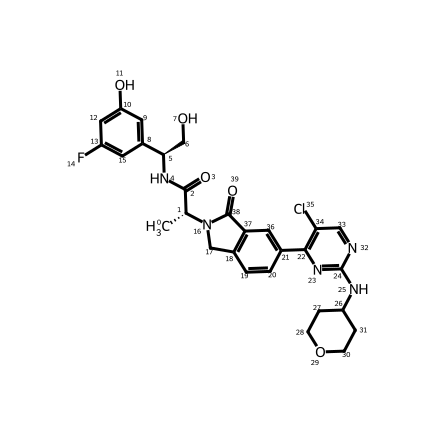 C[C@H](C(=O)N[C@H](CO)c1cc(O)cc(F)c1)N1Cc2ccc(-c3nc(NC4CCOCC4)ncc3Cl)cc2C1=O